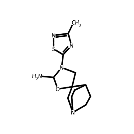 Cc1nsc(N2CC3(CN4CCC3CC4)OC2N)n1